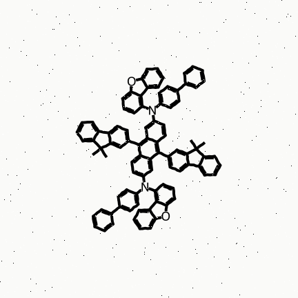 CC1(C)c2ccccc2-c2ccc(-c3c4ccc(N(c5ccc(-c6ccccc6)cc5)c5cccc6oc7ccccc7c56)cc4c(-c4ccc5c(c4)C(C)(C)c4ccccc4-5)c4ccc(N(c5ccc(-c6ccccc6)cc5)c5cccc6oc7ccccc7c56)cc34)cc21